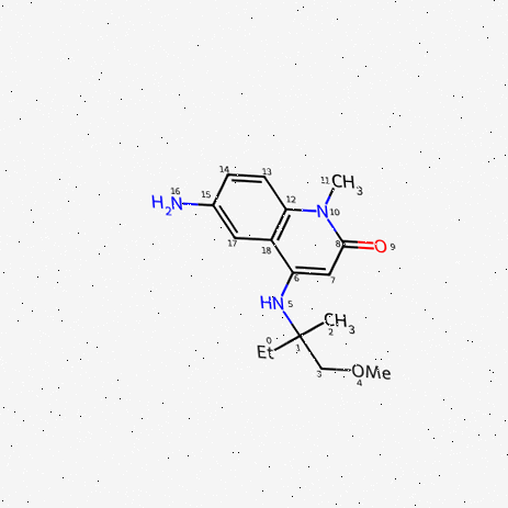 CCC(C)(COC)Nc1cc(=O)n(C)c2ccc(N)cc12